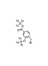 [2H]C([2H])([2H])OC(=O)c1ccc(CBr)c(OC([2H])([2H])[2H])c1